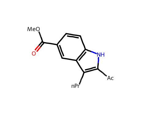 CCCc1c(C(C)=O)[nH]c2ccc(C(=O)OC)cc12